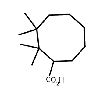 CC1(C)CCCCCC(C(=O)O)C1(C)C